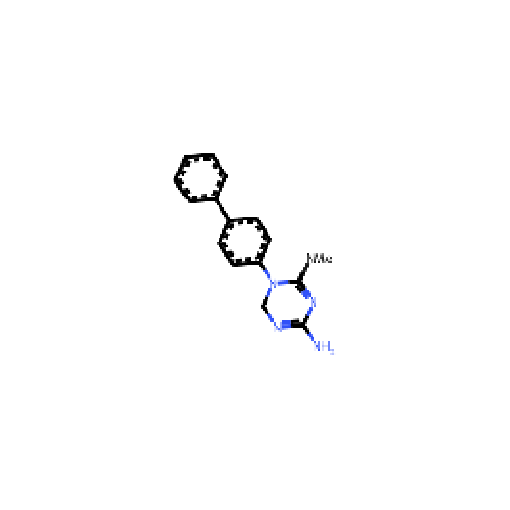 CNC1=NC(N)=NCN1c1ccc(-c2ccccc2)cc1